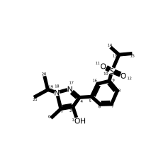 Cc1c(O)c(-c2cccc(S(=O)(=O)C(C)C)c2)nn1C(C)C